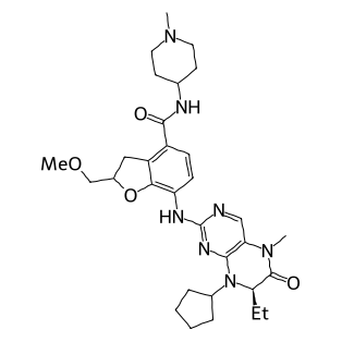 CC[C@@H]1C(=O)N(C)c2cnc(Nc3ccc(C(=O)NC4CCN(C)CC4)c4c3OC(COC)C4)nc2N1C1CCCC1